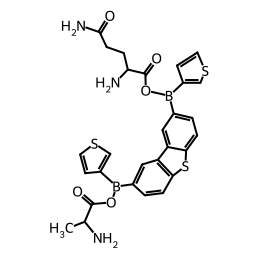 CC(N)C(=O)OB(c1ccsc1)c1ccc2sc3ccc(B(OC(=O)C(N)CCC(N)=O)c4ccsc4)cc3c2c1